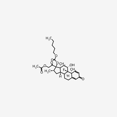 CCCCCOC(=O)O[C@]1(C(=O)COC(C)=O)[C@H](C)C[C@H]2[C@@H]3CCC4=CC(=O)C=C[C@]4(C)[C@@]3(F)[C@@H](O)C[C@@]21C